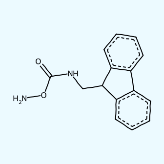 NOC(=O)NCC1c2ccccc2-c2ccccc21